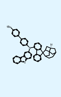 CC(C)(C)c1ccc(-c2ccc(N(c3ccc4sc5ccccc5c4c3)c3cccc4c3-c3ccccc3C43C4CCC5C[C@@H]6CC3C6(C5)C4)cc2)cc1